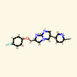 Cc1ccc(-c2cnc3nc(COc4ccc(F)cc4)cn3c2)cn1